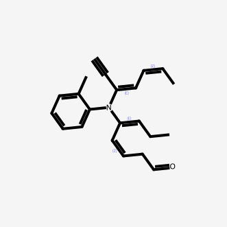 C#C/C(=C\C=C/C)N(C(/C=C\CC=O)=C/CC)c1ccccc1C